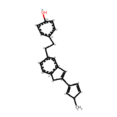 CC1C=CC(C2=Cc3cc(CCc4ccc(O)cc4)ccc3C2)=C1